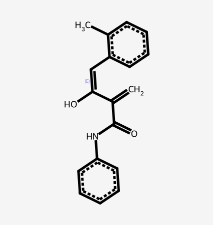 C=C(C(=O)Nc1ccccc1)/C(O)=C\c1ccccc1C